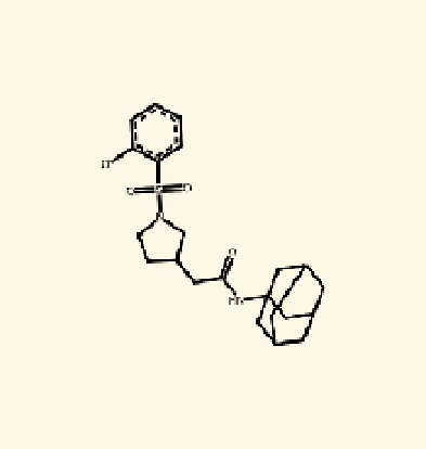 O=C(CC1CCN(S(=O)(=O)c2ccccc2Cl)C1)NC12CC3CC(CC(C3)C1)C2